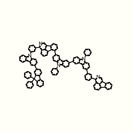 c1ccc(-n2c3ccc(-c4cccc(-c5ncc6c7c(cccc57)-c5ccccc5-6)c4)cc3c3cc(-c4ccc5c(c4)c4cc(-c6cccc7c6-c6cccc8c(-c9cccc(-n%10c%11ccccc%11c%11cc(-c%12ccc%13c(c%12)C(c%12ccccc%12)(c%12ccccc%12)c%12ccccc%12-%13)ccc%11%10)c9)ncc-7c68)ccc4n5-c4ccccc4)ccc32)cc1